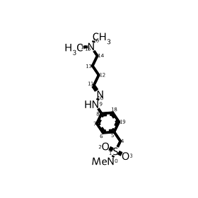 CNS(=O)(=O)Cc1ccc(N/N=C/CCCN(C)C)cc1